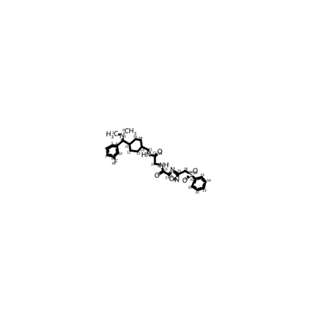 CN(C)C(c1cccc(F)c1)C1CCC(CNC(=O)CNC(=O)c2nc(CS(=O)(=O)c3ccccc3)no2)CC1